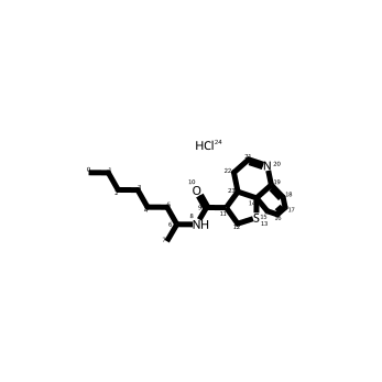 CCCCCCC(C)NC(=O)C1CSC23CC=CC=C2N=CCC13.Cl